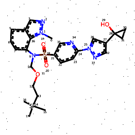 Cn1ncc2cccc(N(COCC[Si](C)(C)C)S(=O)(=O)c3ccc(-n4cc(C5(O)CC5)cn4)nc3)c21